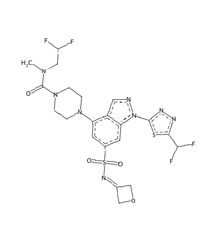 CN(CC(F)F)C(=O)N1CCN(c2cc(S(=O)(=O)N=C3COC3)cc3c2cnn3-c2nnc(C(F)F)s2)CC1